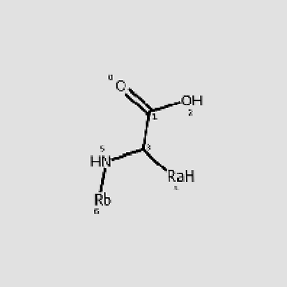 O=C(O)[CH]([RaH])[NH][Rb]